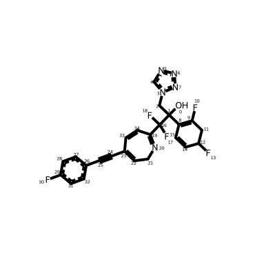 OC(Cn1cnnn1)(C1=C(F)CC(F)C=C1)C(F)(F)C1=NCC=C(C#Cc2ccc(F)cc2)C=C1